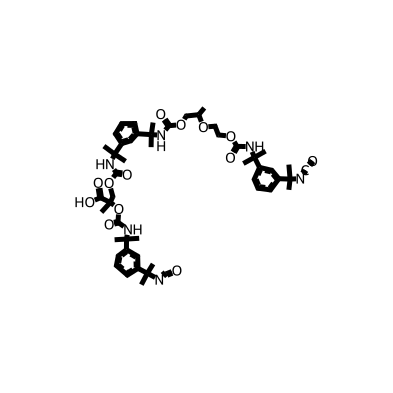 CC(COC(=O)NC(C)(C)c1cccc(C(C)(C)NC(=O)OCC(C)(OC(=O)NC(C)(C)c2cccc(C(C)(C)N=C=O)c2)C(=O)O)c1)OCCOC(=O)NC(C)(C)c1cccc(C(C)(C)N=C=O)c1